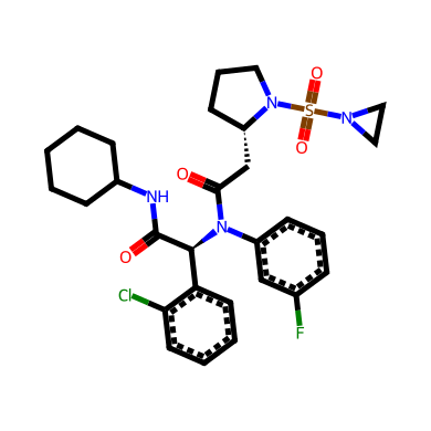 O=C(NC1CCCCC1)[C@H](c1ccccc1Cl)N(C(=O)C[C@@H]1CCCN1S(=O)(=O)N1CC1)c1cccc(F)c1